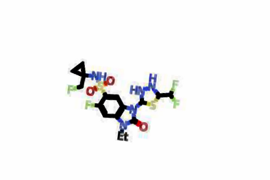 CCn1c(=O)n(C2NNC(C(F)F)S2)c2cc(S(=O)(=O)NC3(CF)CC3)c(F)cc21